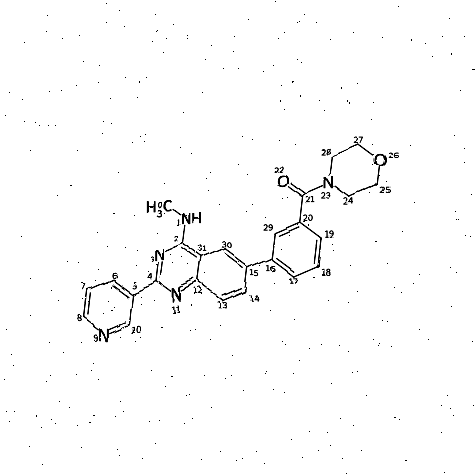 CNc1nc(-c2cccnc2)nc2ccc(-c3cccc(C(=O)N4CCOCC4)c3)cc12